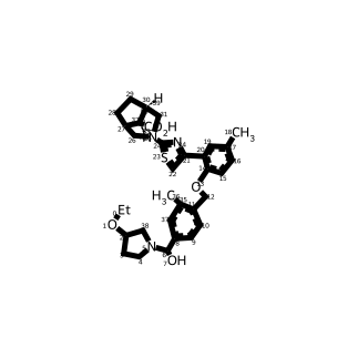 CCOC1CCN(C(O)c2ccc(COc3ccc(C)cc3-c3csc(N4CC5CC[C@@H](C4)[C@H]5C(=O)O)n3)c(C)c2)C1